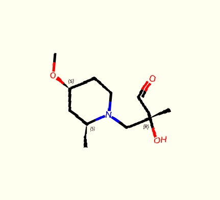 CO[C@H]1CCN(C[C@@](C)(O)C=O)[C@@H](C)C1